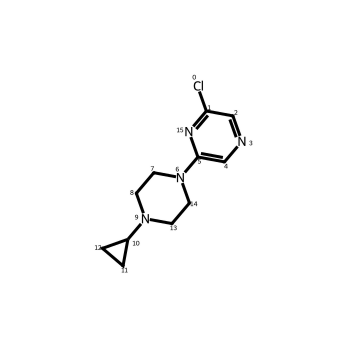 Clc1cncc(N2CCN(C3CC3)CC2)n1